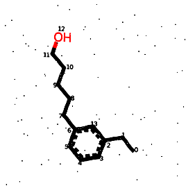 CCc1cccc(CCCCCO)c1